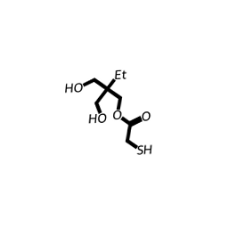 CCC(CO)(CO)COC(=O)CS